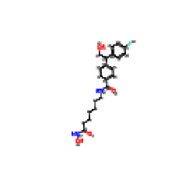 O=C(CCCCCCNC(=O)c1ccc(C(CO)c2ccc(F)cc2)cc1)NO